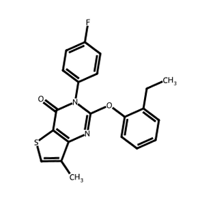 CCc1ccccc1Oc1nc2c(C)csc2c(=O)n1-c1ccc(F)cc1